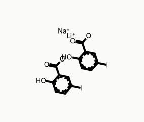 O=C([O-])c1cc(I)ccc1O.O=C([O-])c1cc(I)ccc1O.[Li+].[Na+]